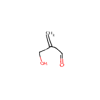 C=C(C=O)CO